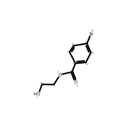 O=C(OCCO)c1ccc(Br)cc1